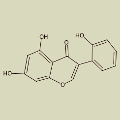 O=c1c(-c2ccccc2O)coc2cc(O)cc(O)c12